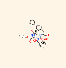 CCOC(=O)C(O)(CN(CC(C)C)C(=O)NC(Cc1ccc(-c2ccccc2)cc1)C(=O)O)NC(C)=O